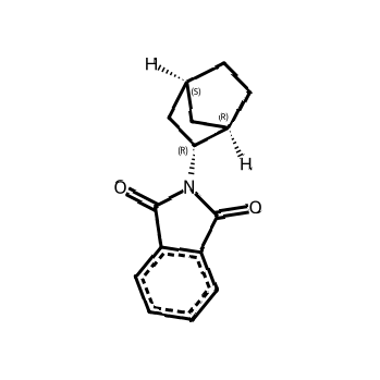 O=C1c2ccccc2C(=O)N1[C@@H]1C[C@H]2CC[C@@H]1C2